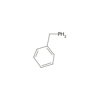 PCc1ccccc1